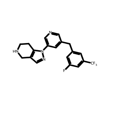 Fc1cc(Cc2cncc(-n3ncc4c3CCNC4)c2)cc(C(F)(F)F)c1